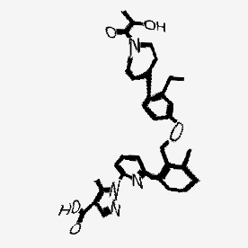 CCc1cc(OCC2=C(c3cccc(-n4ncc(C(=O)O)c4C)n3)CCCC2C)ccc1C1CCN(C(=O)C(C)O)CC1